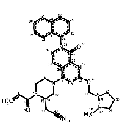 C=CC(=O)N1CCN(c2nc(OC[C@H]3CCCN3C)nc3c(=O)n(-c4cccc5ccccc45)ncc23)C[C@H]1CC#N